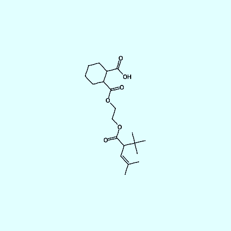 CC(C)=CC(C(=O)OCCOC(=O)C1CCCCC1C(=O)O)C(C)(C)C